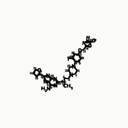 CN(CCN1CCN(c2ccc(OCc3n[nH]c(=O)o3)cc2F)CC1)c1nc(N)n2nc(-c3ccco3)nc2n1